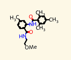 COCCNC(=O)c1ccc(C)cc1NC(=O)c1c(C)cc(C)cc1C